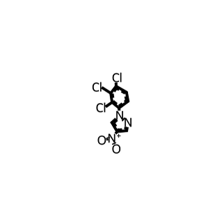 O=[N+]([O-])c1cnn(-c2ccc(Cl)c(Cl)c2Cl)c1